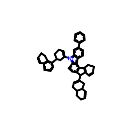 C1=CC2=C(CC1)c1c(ccc3c1c1ccc(-c4ccccc4)cc1n3C1=CCCC(c3cccc4c3CCC=C4)C1)C2C1=CCC2CCC=CC2C1